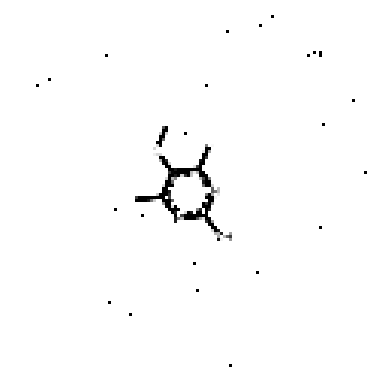 COc1c(C)nc(O)nc1C